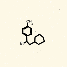 CCC(CC1CCCCC1)c1ccc(C)cc1